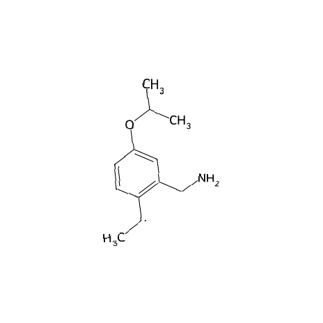 C[CH]c1ccc(OC(C)C)cc1CN